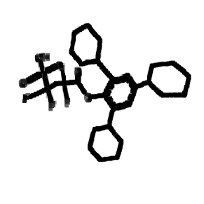 O=C(Oc1c(C2CCCCC2)cc(C2CCCCC2)cc1C1CCCCC1)C(F)(F)C(F)(F)S(=O)(=O)O